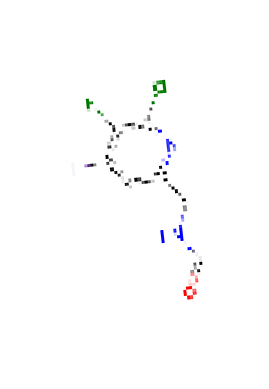 O=CNCc1cc(I)c(F)c(Cl)n1